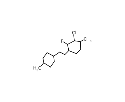 CC1CCC(CCC2CCC(C)C(Cl)C2F)CC1